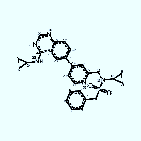 O=S(=O)(Cc1ccccc1)N(Cc1cc(-c2ccc3ncnc(NC4CC4)c3c2)ccn1)C1CC1